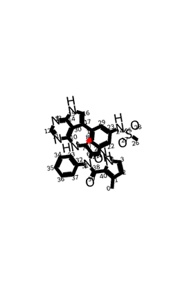 Cc1ccn2nc([C@H](C)Nc3ncnc4[nH]cc(-c5cc(O)cc(NS(C)(=O)=O)c5)c34)n(-c3ccccc3)c(=O)c12